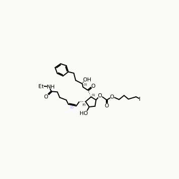 CCNC(=O)CCC/C=C\C[C@H]1C(O)CC(OC(=O)OCCCCI)[C@H]1C(=O)C[C@@H](O)CCc1ccccc1